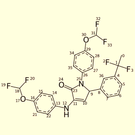 CC(F)(F)c1cccc(C2C=C(Nc3ccc(OC(F)F)cc3)C(=O)N2c2ccc(OC(F)F)cc2)c1